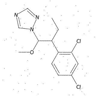 CCC(c1ccc(Cl)cc1Cl)C(OC)n1cncn1